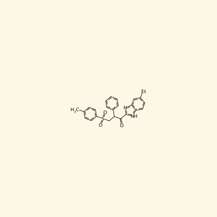 CCc1ccc2[nH]c(C(=O)C(CS(=O)(=O)c3ccc(C)cc3)c3ccccc3)nc2c1